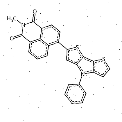 CN1C(=O)c2cccc3c(-c4cc5c(s4)c4sccc4n5-c4ccccc4)ccc(c23)C1=O